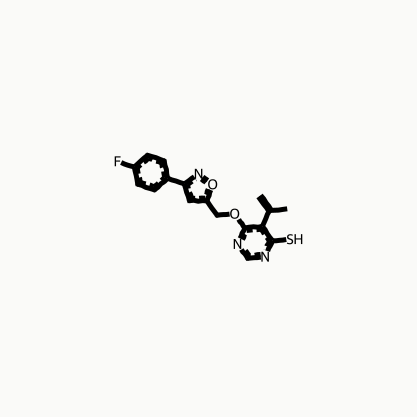 C=C(C)c1c(S)ncnc1OCc1cc(-c2ccc(F)cc2)no1